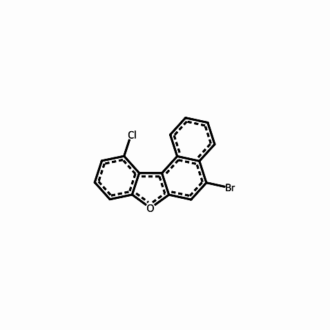 Clc1cccc2oc3cc(Br)c4ccccc4c3c12